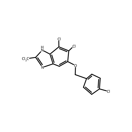 Clc1ccc(COc2cc3nc(C(Cl)(Cl)Cl)[nH]c3c(Cl)c2Cl)cc1